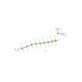 NC(N)=[S+]C(F)(F)C(F)(F)C(F)(F)C(F)(F)C(F)(F)C(F)(F)C(F)(F)C(F)(F)C(F)(F)C(F)(F)F.[I-]